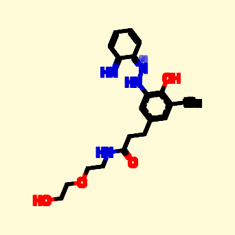 CC(C)(C)c1cc(CCC(=O)NCCOCCO)cc(N/N=C2/C=CC=CC2=N)c1O